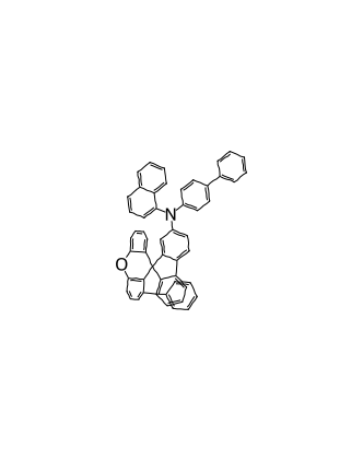 c1ccc(-c2ccc(N(c3ccc4c(c3)C3(c5ccccc5Oc5cccc(-c6ccccc6)c53)c3ccccc3-4)c3cccc4ccccc34)cc2)cc1